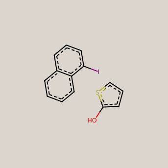 Ic1cccc2ccccc12.Oc1cccs1